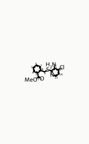 COC(=O)c1ccccc1CSc1nccc(Cl)c1N